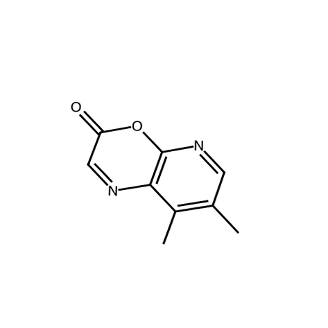 Cc1cnc2oc(=O)cnc2c1C